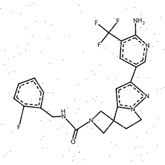 Nc1ncc(-c2cc3n(n2)CCC32CN(C(=O)NCc3ccccc3F)C2)cc1C(F)(F)F